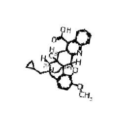 COc1ccc2c3c1O[C@H]1c4nc5ccccc5c(C(=O)O)c4CC4(C)[C@@H](C2)N(CC2CC2)CC[C@]314